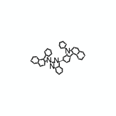 c1ccc(-n2c3cc(-c4nc(-n5c6ccccc6c6c7ccccc7ccc65)nc5ccccc45)ccc3c3c4ccccc4ccc32)cc1